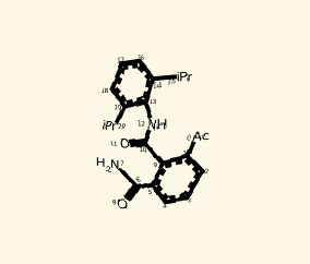 CC(=O)c1cccc(C(N)=O)c1C(=O)Nc1c(C(C)C)cccc1C(C)C